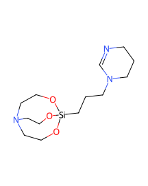 C1=NCCCN1CCC[Si]12OCCN(CCO1)CCO2